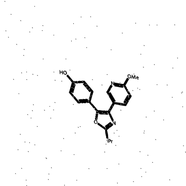 COc1ccc(-c2nc(C(C)C)oc2-c2ccc(O)cc2)cn1